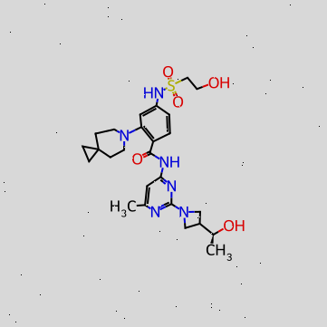 Cc1cc(NC(=O)c2ccc(NS(=O)(=O)CCO)cc2N2CCC3(CC2)CC3)nc(N2CC([C@H](C)O)C2)n1